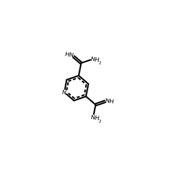 N=C(N)c1cncc(C(=N)N)c1